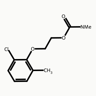 CNC(=O)OCCOc1c(C)cccc1Cl